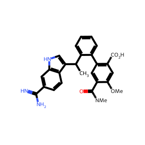 CNC(=O)c1cc(-c2ccccc2C(C)c2c[nH]c3cc(C(=N)N)ccc23)c(C(=O)O)cc1OC